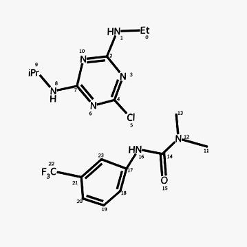 CCNc1nc(Cl)nc(NC(C)C)n1.CN(C)C(=O)Nc1cccc(C(F)(F)F)c1